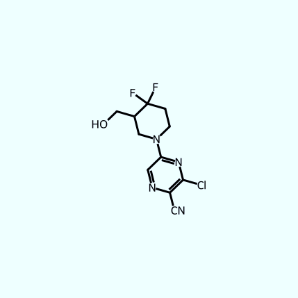 N#Cc1ncc(N2CCC(F)(F)C(CO)C2)nc1Cl